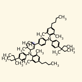 C/C=C(\CC(C(C)C)N(c1ccc(C(C)(CC)CC)cc1)c1c(C)cc(CCCC)cc1C)c1ccc(N(c2ccc(C(C)(CC)CC)cc2)c2c(C)cc(CCCC)cc2C)cc1